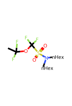 CCCCCCN(CCCCCC)S(=O)(=O)C(F)(F)OC(C)(F)F